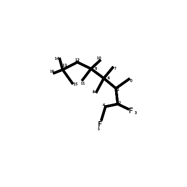 CC(C(F)CF)C(C)(C)C(C)(C)CC(C)(C)C